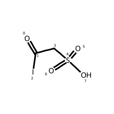 O=C(I)CS(=O)(=O)O